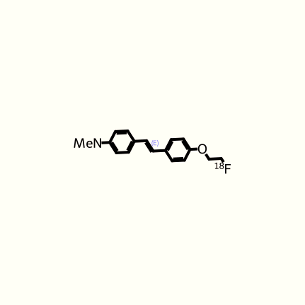 CNc1ccc(/C=C/c2ccc(OCC[18F])cc2)cc1